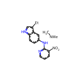 CCc1c[nH]c2ccc(Nc3ncccc3[N+](=O)[O-])cc12.CNC